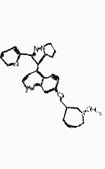 CN1CCCC(COc2ccc3c(-c4c(-c5ccccn5)nn5c4CCC5)ccnc3c2)C1